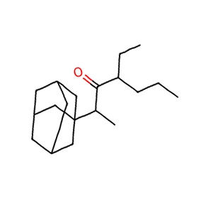 CCCC(CC)C(=O)C(C)C12CC3CC(CC(C3)C1)C2